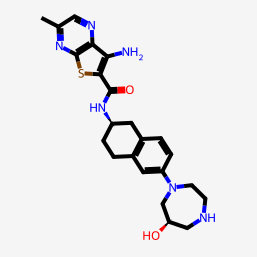 Cc1cnc2c(N)c(C(=O)N[C@@H]3CCc4cc(N5CCNC[C@@H](O)C5)ccc4C3)sc2n1